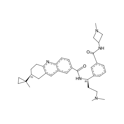 CN(C)CC[C@@H](NC(=O)c1ccc2nc3c(cc2c1)C[C@@H](C1(C)CC1)CC3)c1cccc(C(=O)NC2CN(C)C2)c1